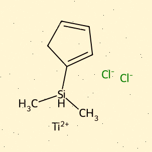 C[SiH](C)C1=CC=CC1.[Cl-].[Cl-].[Ti+2]